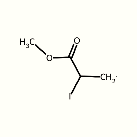 [CH2]C(I)C(=O)OC